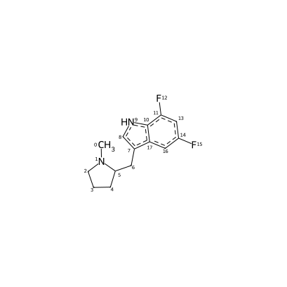 CN1CCCC1Cc1c[nH]c2c(F)cc(F)cc12